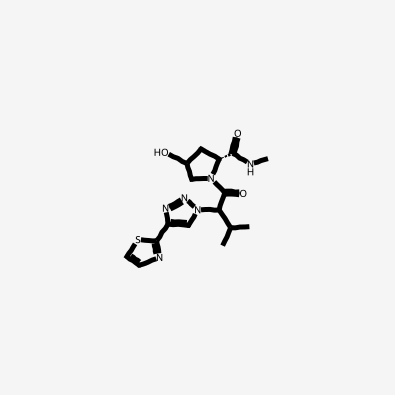 CNC(=O)[C@H]1CC(O)CN1C(=O)C(C(C)C)n1cc(-c2nccs2)nn1